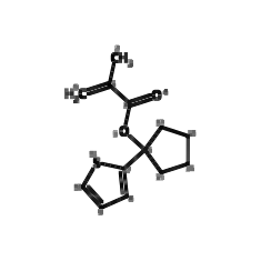 C=C(C)C(=O)OC1(c2cccs2)CCCC1